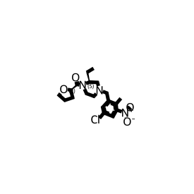 CC[C@H]1CN(Cc2cc(Cl)cc([N+](=O)[O-])c2C)CCN1C(=O)[C@H]1CCCO1